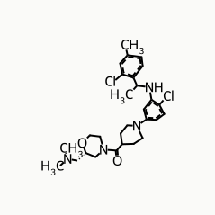 Cc1ccc(C(C)Nc2cc(N3CCC(C(=O)N4CCO[C@@H](CN(C)C)C4)CC3)ccc2Cl)c(Cl)c1